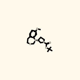 COc1ccc2c(c1)N([C@H]1CCN(C(=O)OC(C)(C)C)C1)COCC2